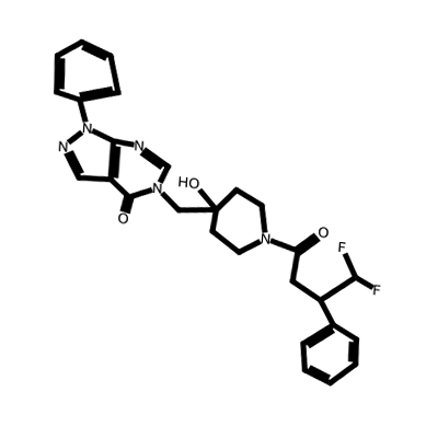 O=C(CC(c1ccccc1)C(F)F)N1CCC(O)(Cn2cnc3c(cnn3-c3ccccc3)c2=O)CC1